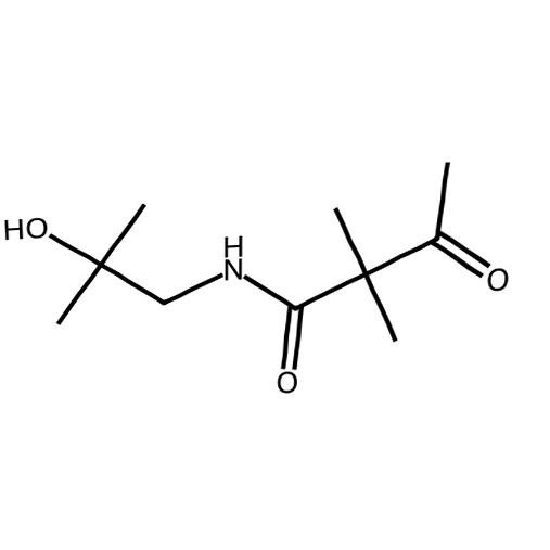 CC(=O)C(C)(C)C(=O)NCC(C)(C)O